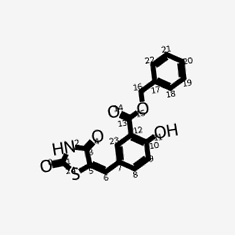 O=C1NC(=O)/C(=C\c2ccc(O)c(C(=O)OCc3ccccc3)c2)S1